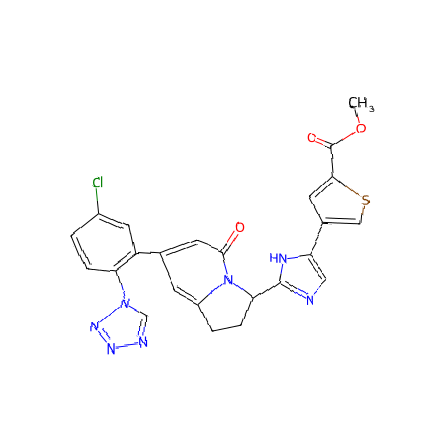 COC(=O)c1cc(-c2cnc(C3CCc4cc(-c5cc(Cl)ccc5-n5cnnn5)cc(=O)n43)[nH]2)cs1